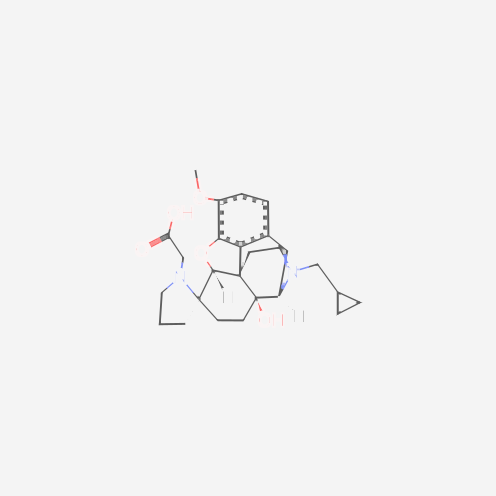 COc1ccc2c3c1O[C@H]1[C@@]4(CCCN4CC(=O)O)CC[C@@]4(O)[C@@H](C2)N(CC2CC2)CC[C@]314